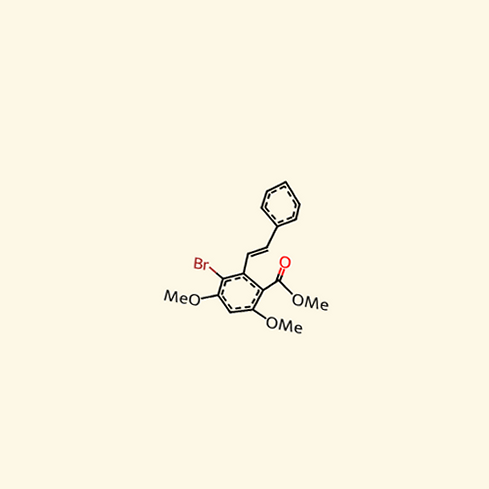 COC(=O)c1c(OC)cc(OC)c(Br)c1C=Cc1ccccc1